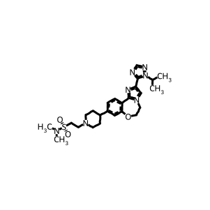 CC(C)n1ncnc1-c1cn2c(n1)-c1ccc(C3CCN(CCS(=O)(=O)N(C)C)CC3)cc1OCC2